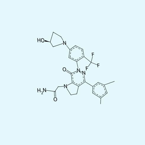 Cc1cc(C)cc(-c2nn(-c3cc(N4CC[C@H](O)C4)ccc3C(F)(F)F)c(=O)c3c2CCN3CC(N)=O)c1